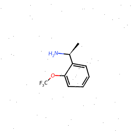 C[C@H](N)c1ccccc1OC(F)(F)F